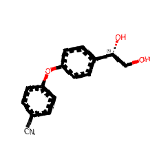 N#Cc1ccc(Oc2ccc([C@H](O)CO)cc2)cc1